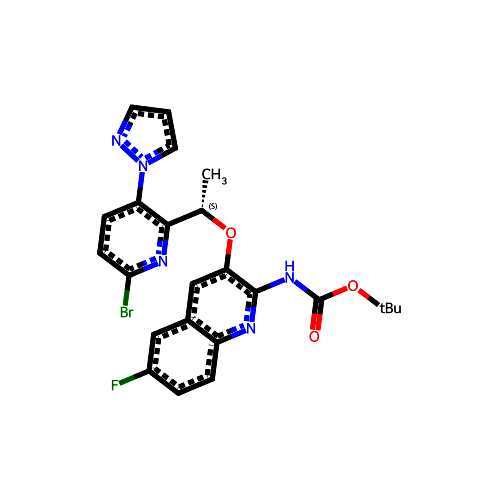 C[C@H](Oc1cc2cc(F)ccc2nc1NC(=O)OC(C)(C)C)c1nc(Br)ccc1-n1cccn1